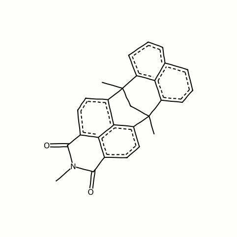 CN1C(=O)c2ccc3c4c(ccc(c24)C1=O)C1(C)CC3(C)c2cccc3cccc1c23